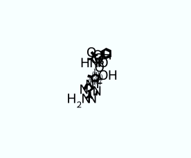 C=C1[C@@H](n2cnc3c(N)ncnc32)[C@@H](F)[C@H](O)[C@H]1COP(=O)(NC(C)C(=O)O)Oc1ccccc1